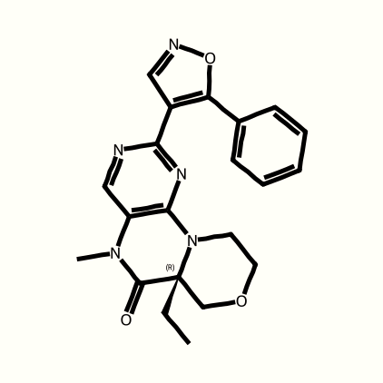 CC[C@]12COCCN1c1nc(-c3cnoc3-c3ccccc3)ncc1N(C)C2=O